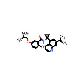 C=C(C)c1cc(C2(NC(=O)c3cc(OCC(C)NC)ccc3C)CC2)c2cccnc2c1